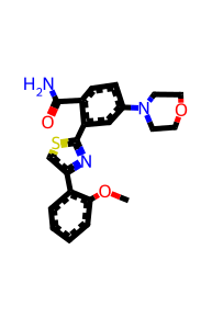 COc1ccccc1-c1csc(-c2cc(N3CCOCC3)ccc2C(N)=O)n1